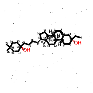 CC[C@]1(O)CC[C@H]2C(=CC[C@@H]3[C@@H]2CC[C@]2(C)[C@@H](CCCCC4(O)CCC(C)(C)CC4)CC[C@@H]32)C1